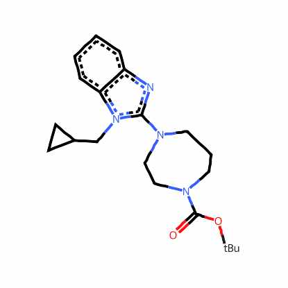 CC(C)(C)OC(=O)N1CCCN(c2nc3ccccc3n2CC2CC2)CC1